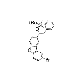 CC(C)(C)[Si](C)(C)OC(Cc1ccccc1)c1ccc2oc3ccc(Br)cc3c2c1